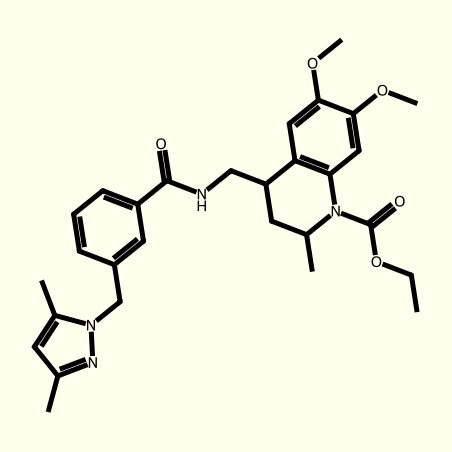 CCOC(=O)N1c2cc(OC)c(OC)cc2C(CNC(=O)c2cccc(Cn3nc(C)cc3C)c2)CC1C